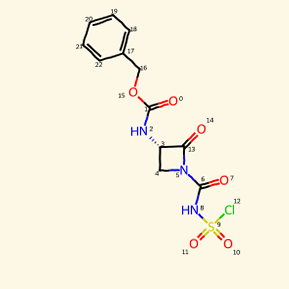 O=C(N[C@H]1CN(C(=O)NS(=O)(=O)Cl)C1=O)OCc1ccccc1